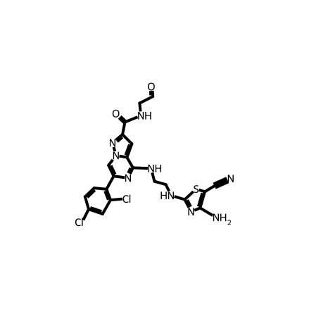 N#Cc1sc(NCCNc2nc(-c3ccc(Cl)cc3Cl)cn3nc(C(=O)NCC=O)cc23)nc1N